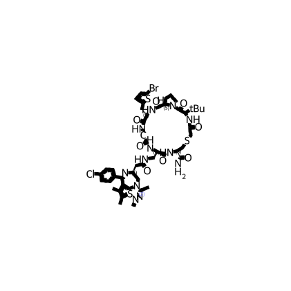 C=N/N=C(/C)N1C[C@H](CC(=O)NC[C@H]2NC(=O)CNC(=O)[C@H](Cc3ccc(Br)s3)NC(=O)[C@@H]3CCCN3C(=O)C(C(C)(C)C)NC(=O)CSC[C@H](C(N)=O)NC2=O)N=C(c2ccc(Cl)cc2)c2c1sc(C)c2C